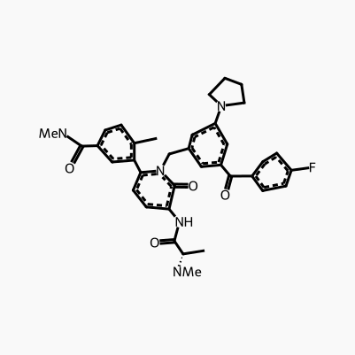 CNC(=O)c1ccc(C)c(-c2ccc(NC(=O)[C@H](C)NC)c(=O)n2Cc2cc(C(=O)c3ccc(F)cc3)cc(N3CCCC3)c2)c1